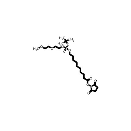 COCCOCCOP(=S)(OCCCCCCCCCC(=O)ON1C(=O)CCC1=O)OC(C)(C)C